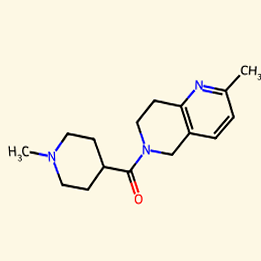 Cc1ccc2c(n1)CCN(C(=O)C1CCN(C)CC1)C2